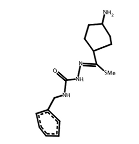 CS/C(=N\NC(=O)NCc1ccccc1)C1CCC(N)CC1